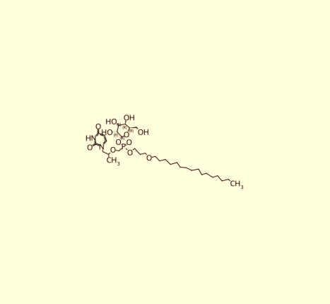 CCCCCCCCCCCCCCCCOCCCOP(=O)(COC(C)Cn1ccc(=O)[nH]c1=O)O[C@H]1O[C@H](CO)[C@H](O)[C@H](O)[C@H]1O